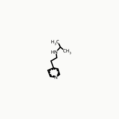 CC(C)NCCc1ccncc1